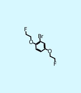 FCCOc1ccc(OCCF)c(Br)c1